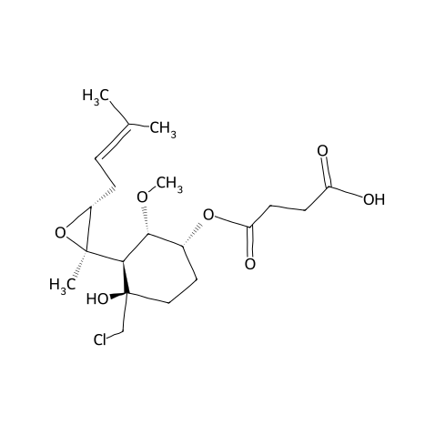 CO[C@@H]1[C@H](OC(=O)CCC(=O)O)CC[C@](O)(CCl)[C@H]1[C@@]1(C)O[C@@H]1CC=C(C)C